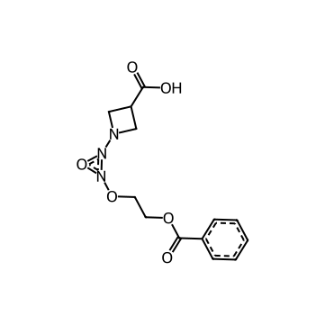 O=C(OCCOn1on1N1CC(C(=O)O)C1)c1ccccc1